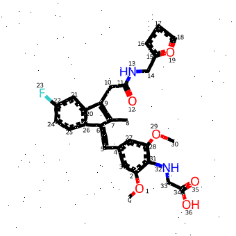 COc1cc(C=C2C(C)=C(CC(=O)NCc3ccco3)c3cc(F)ccc32)cc(OC)c1NCC(=O)O